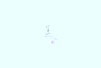 C=CC(=O)N1C[C@@H](n2cc(C#Cc3cc(OC)cc(OC)c3)c3c(N)ncnc32)C[C@H]1c1nnc(C)o1